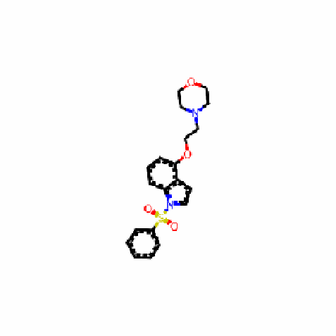 O=S(=O)(c1ccccc1)n1ccc2c(OCCN3CCOCC3)cccc21